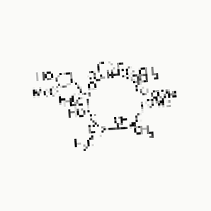 C=CCC1/C=C(\C)CC(C)CCC(OC)C2OC(O)(C(=O)C(=O)N3CCCCC3C(=O)OC(/C(C)=C/C3CCC(O)C(OC)C3)C(C)C(O)CC1=O)C(C)CC2OC